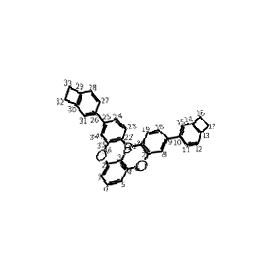 c1cc2c3c(c1)Oc1cc(-c4ccc5c(c4)CC5)ccc1B3c1ccc(-c3ccc4c(c3)CC4)cc1O2